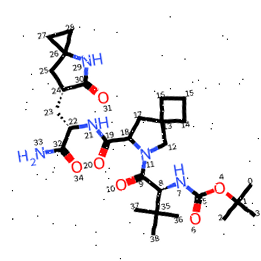 CC(C)(C)OC(=O)N[C@H](C(=O)N1CC2(CCC2)CC1C(=O)N[C@@H](C[C@@H]1CC2(CC2)NC1=O)C(N)=O)C(C)(C)C